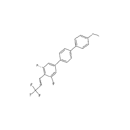 CCc1ccc(-c2ccc(-c3cc(F)c(/C=C/C(F)(F)F)c(F)c3)cc2)cc1